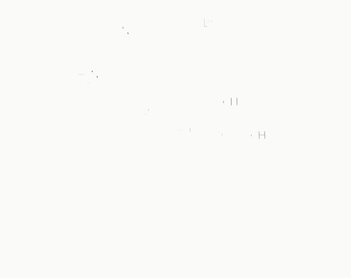 [CH3][Sn]([CH3])([CH3])[c]1ccc(F)cc1CCOc1cc(Br)cnc1N